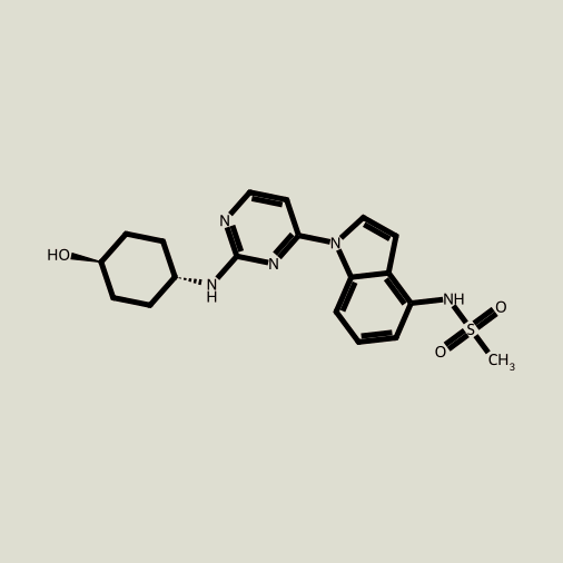 CS(=O)(=O)Nc1cccc2c1ccn2-c1ccnc(N[C@H]2CC[C@H](O)CC2)n1